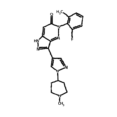 Cc1cccc(F)c1-n1nc2c(-c3cnn(C4CCN(C)CC4)c3)n[nH]c2cc1=O